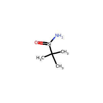 CC(C)(C)[Si](N)=O